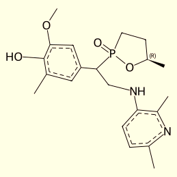 COc1cc(C(CNc2ccc(C)nc2C)P2(=O)CC[C@@H](C)O2)cc(C)c1O